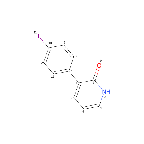 O=c1[nH]cccc1-c1ccc(I)cc1